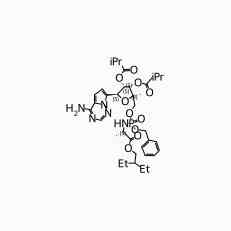 CCC(CC)COC(=O)[C@H](C)NP(=O)(OCc1ccccc1)OC[C@@]1(C)O[C@@H](c2ccc3c(N)ncnn23)[C@H](OC(=O)C(C)C)[C@@H]1OC(=O)C(C)C